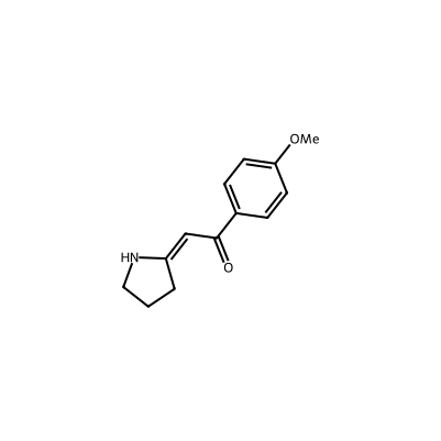 COc1ccc(C(=O)C=C2CCCN2)cc1